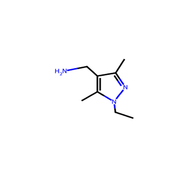 CCn1nc(C)c(CN)c1C